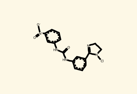 O=C(Nc1cccc(C2=NCCN2Cl)c1)Nc1cccc([N+](=O)[O-])c1